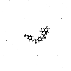 CN(C)c1nc(N[C@H]2CC[C@@H](NCCc3ccc(C(C)(C)C)cc3)CC2)nc2ccccc12